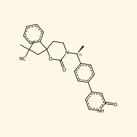 C[C@@H](c1ccc(-c2cc[nH]c(=O)c2)cc1)N1CCC(CC(C)(C)C#N)(c2ccccc2)OC1=O